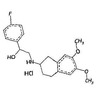 COc1cc2c(cc1OC)CC(NCC(O)c1ccc(F)cc1)CC2.Cl